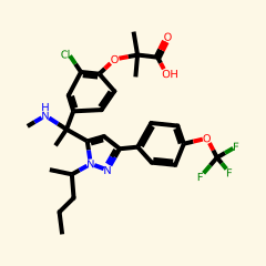 CCCC(C)n1nc(-c2ccc(OC(F)(F)F)cc2)cc1C(C)(NC)c1ccc(OC(C)(C)C(=O)O)c(Cl)c1